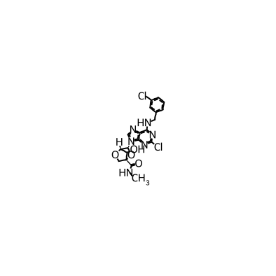 CNC(=O)[C@@]12CO[C@@H](C1O)[C@H](n1cnc3c(NCc4cccc(Cl)c4)nc(Cl)nc31)O2